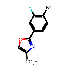 [C-]#[N+]c1ccc(-c2nc(C(=O)O)co2)cc1F